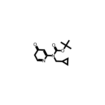 CC(C)(C)OC(=O)N(CC1CC1)C1=CC(=O)CC=N1